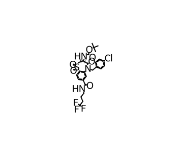 CC(C)(C)OC(=O)N[C@H]1CS(=O)(=O)c2ccc(C(=O)NCCCC(F)(F)F)cc2N(Cc2ccc(Cl)cc2)C1=O